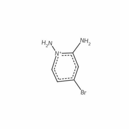 Nc1cc(Br)cc[n+]1N